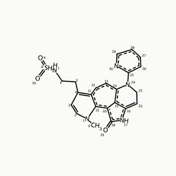 CN1C=CC(CCN[SH](=O)=O)=c2ccc3c4c([nH]c(=O)c-4c21)=CCN3c1ccccn1